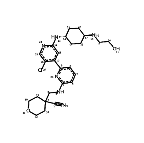 N#CC1(CNc2cccc(-c3cc(N[C@H]4CC[C@H](NCCO)CC4)ncc3Cl)n2)CCOCC1